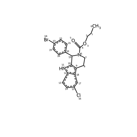 CCCOC(=O)N1CCc2c([nH]c3ccc(Cl)cc23)C1c1ccc(Br)cc1